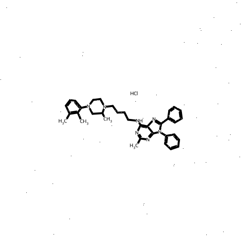 Cc1nc(NCCCCN2CCN(c3cccc(C)c3C)CC2C)c2nc(-c3ccccc3)n(-c3ccccc3)c2n1.Cl